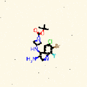 CC(C)(C)OC(=O)N1CC(Nc2c(N)cnc3c(F)c(Br)c(Cl)cc23)C1